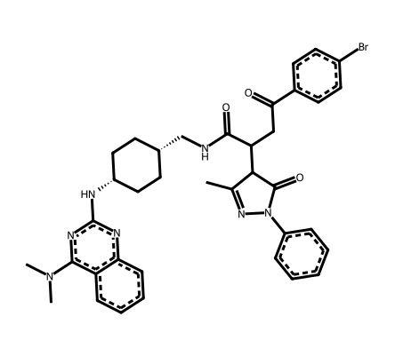 CC1=NN(c2ccccc2)C(=O)C1C(CC(=O)c1ccc(Br)cc1)C(=O)NC[C@H]1CC[C@@H](Nc2nc(N(C)C)c3ccccc3n2)CC1